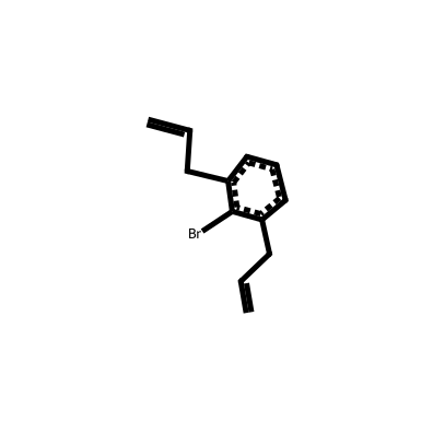 C=CCc1cccc(CC=C)c1Br